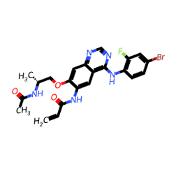 C=CC(=O)Nc1cc2c(Nc3ccc(Br)cc3F)ncnc2cc1OC[C@@H](C)NC(C)=O